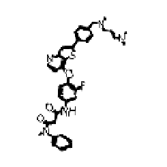 CN(C)CCCN(C)Cc1ccc(-c2cc3nccc(Oc4ccc(NC(=O)CC(=O)N(C)c5ccccc5)cc4F)c3s2)cc1